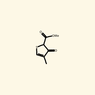 COC(=O)C1SC=C(C)C1=O